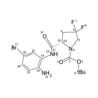 CC(C)(C)OC(=O)N1CC(F)(F)C[C@H]1C(=O)Nc1cc(Br)ccc1N